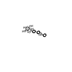 C[C@@H](O)[C@H](NC(=O)c1ccc(-c2ccc(CNc3ccccc3)cc2)cc1)C(=O)NO